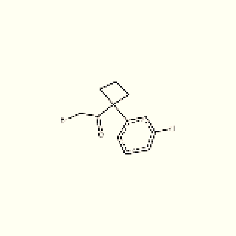 O=C(CBr)C1(c2cccc(Cl)c2)CCC1